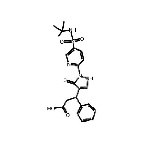 CC(C)(C)NS(=O)(=O)c1ccc(-n2[nH]cc(C(CC(=O)O)c3ccccc3)c2=O)nc1